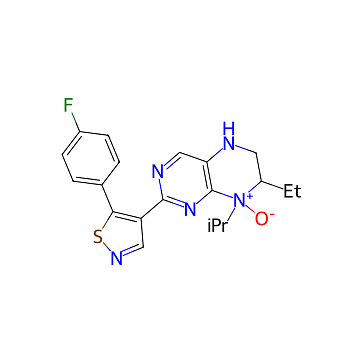 CCC1CNc2cnc(-c3cnsc3-c3ccc(F)cc3)nc2[N+]1([O-])C(C)C